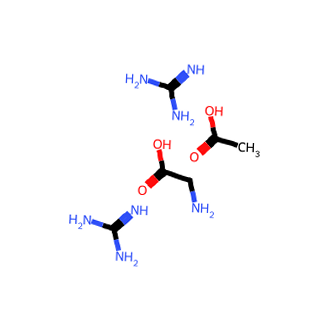 CC(=O)O.N=C(N)N.N=C(N)N.NCC(=O)O